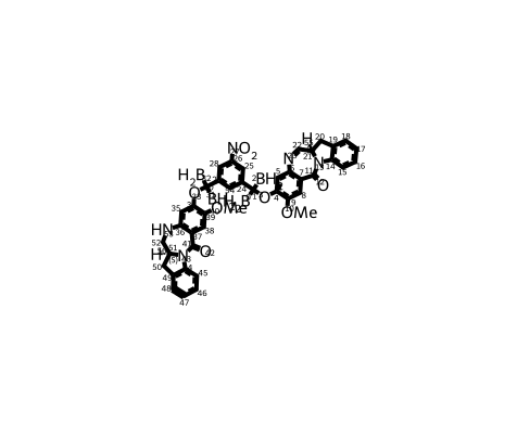 BC(B)(Oc1cc2c(cc1OC)C(=O)N1c3ccccc3C[C@H]1C=N2)c1cc([N+](=O)[O-])cc(C(B)(B)Oc2cc3c(cc2OC)C(=O)N2c4ccc#cc4C[C@H]2CN3)c1